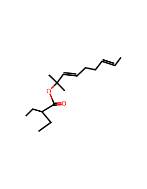 CC=CCCC=CC(C)(C)OC(=O)C(CC)CC